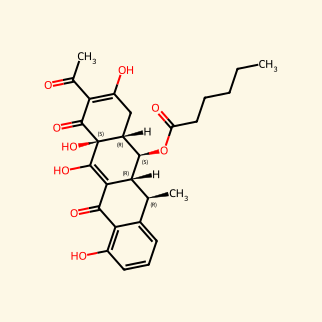 CCCCCC(=O)O[C@H]1[C@H]2C(=C(O)[C@]3(O)C(=O)C(C(C)=O)=C(O)C[C@H]13)C(=O)c1c(O)cccc1[C@@H]2C